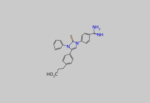 N=C(N)c1ccc(-n2cc(-c3ccc(CCC(=O)O)cc3)n(-c3ccccc3)c2=S)cc1